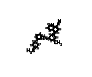 C[C@H]1C[C@@H](NCc2cccc(N3CCN(C)CC3)c2)CN(c2ccc(C#N)c3ncccc23)C1